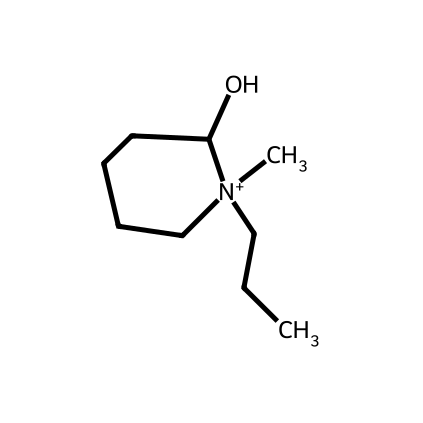 CCC[N+]1(C)CCCCC1O